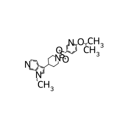 CCn1cc(C2CCN(S(=O)(=O)c3ccc(OC(C)C)nc3)CC2)c2ccncc21